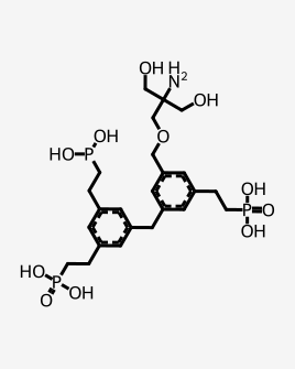 NC(CO)(CO)COCc1cc(CCP(=O)(O)O)cc(Cc2cc(CCP(O)O)cc(CCP(=O)(O)O)c2)c1